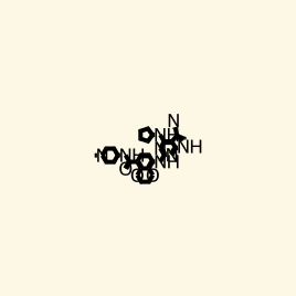 CN1CCC(NC(=O)c2ccc(Nc3nc(NC4CCCC4)c4c(C#N)c[nH]c4n3)c3c2OCCO3)CC1